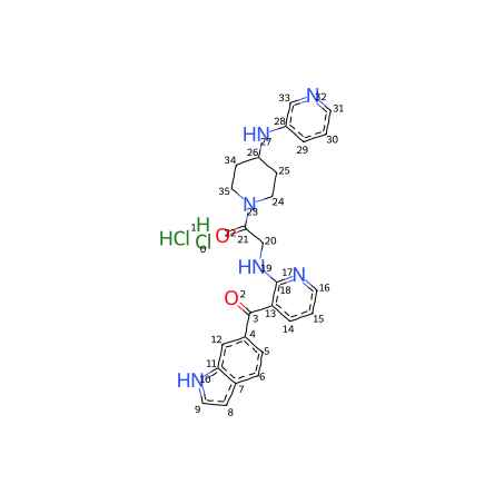 Cl.Cl.O=C(c1ccc2cc[nH]c2c1)c1cccnc1NCC(=O)N1CCC(Nc2cccnc2)CC1